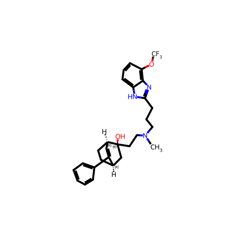 CN(CCCc1nc2c(OC(F)(F)F)cccc2[nH]1)CC[C@]1(O)C[C@H]2CC[C@@H]1C=C2c1ccccc1